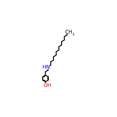 CCCCCCCCCCCCCCNCCc1ccc(O)cc1